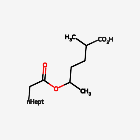 CCCCCCCCC(=O)OC(C)CCC(C)C(=O)O